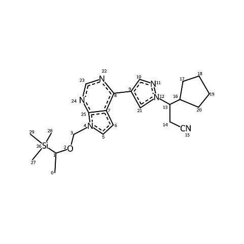 CC(OCn1ccc2c(-c3cnn(C(CC#N)C4CCCC4)c3)ncnc21)[Si](C)(C)C